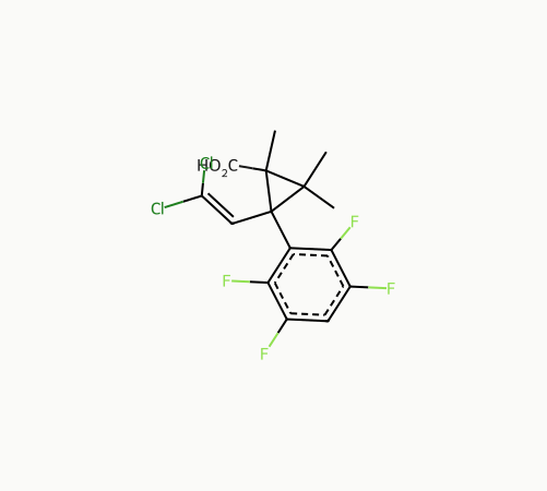 CC1(C)C(C)(C(=O)O)C1(C=C(Cl)Cl)c1c(F)c(F)cc(F)c1F